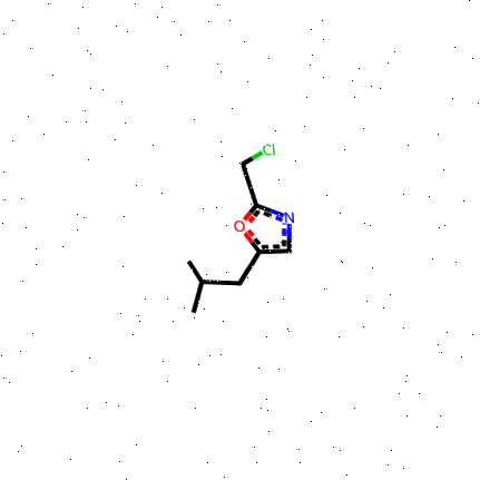 CC(C)Cc1cnc(CCl)o1